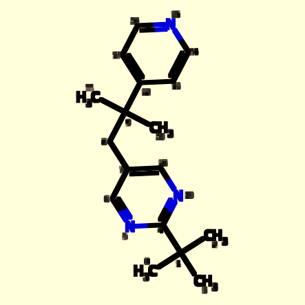 CC(C)(C)c1ncc(CC(C)(C)c2ccncc2)cn1